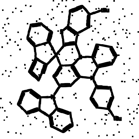 CC(C)(C)c1ccc(N2c3ccccc3B3c4c2cc(-n2c5ccccc5c5ccccc52)cc4C2(c4ccccc4-c4ccccc42)c2sc4ccc(C(C)(C)C)cc4c23)cc1